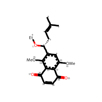 CCO[C@H](CC=C(C)C)c1cc(OC)c2c(c1OC)C(=O)C=CC2=O